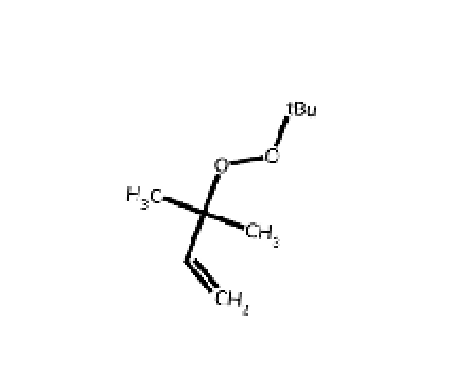 C=CC(C)(C)OOC(C)(C)C